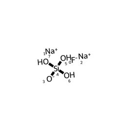 [F-].[Na+].[Na+].[O-][Si](O)(O)O